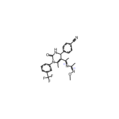 CO/N=C(C)\N=C(/C)C1=C(C)N(c2cccc(C(F)(F)F)c2)C(=O)NC1c1ccc(C#N)cc1